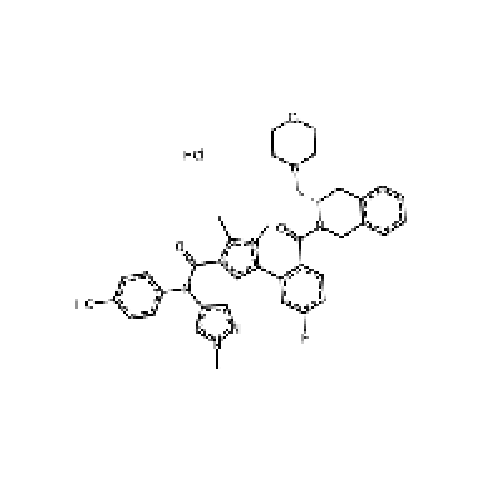 Cc1c(C(=O)N(c2ccc(O)cc2)c2cnn(C)c2)cc(-c2cc(F)ccc2C(=O)N2Cc3ccccc3C[C@H]2CN2CCOCC2)n1C.Cl